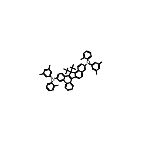 Cc1cc(C)cc(N(c2ccc3c4c(ccc3c2)-c2c(c3ccc(N(c5cc(C)cc(C)c5)c5ccccc5C)cc3c3ccccc23)C4(C(C)(C)C)C(C)(C)C)c2ccccc2C)c1